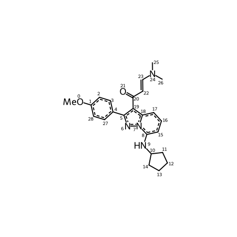 COc1ccc(-c2nn3c(NC4CCCC4)cccc3c2C(=O)C=CN(C)C)cc1